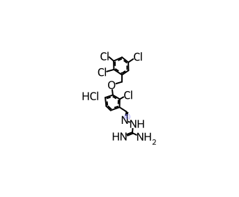 Cl.N=C(N)N/N=C/c1cccc(OCc2cc(Cl)cc(Cl)c2Cl)c1Cl